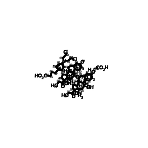 CC(=O)O.C[C@]12CCC(=O)C=C1CC[C@@H]1[C@@H]2[C@@H](O)C[C@@]2(C)[C@H]1CC[C@]2(O)C(=O)CO.C[C@]12CCC(=O)C=C1CC[C@@H]1[C@@H]2[C@@H](O)C[C@@]2(C)[C@H]1CC[C@]2(O)C(=O)CO.O=C(O)CCCc1ccc(N(CCCl)CCCl)cc1